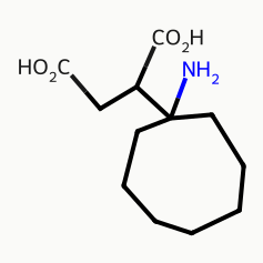 NC1(C(CC(=O)O)C(=O)O)CCCCCCC1